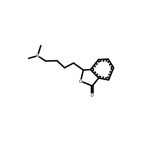 CN(C)CCCCC1OC(=O)c2ccccc21